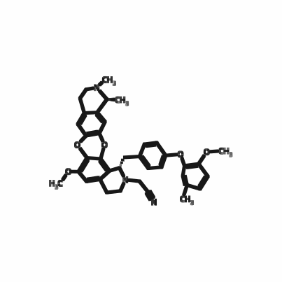 COc1ccc(C)cc1Oc1ccc(C[C@H]2c3c(cc(OC)c4c3Oc3cc5c(cc3O4)CCN(C)[C@H]5C)CCN2CC#N)cc1